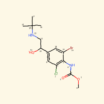 COC(=O)Nc1c(Cl)cc(C(O)CNC(C)(C)C)cc1Br